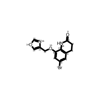 O=C1CCc2cc(Br)cc(OCc3cocn3)c2N1